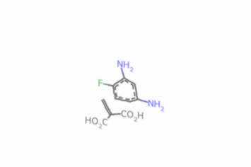 C=C(C(=O)O)C(=O)O.Nc1ccc(F)c(N)c1